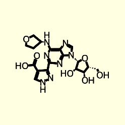 O=C(O)c1c[nH]nc1-c1nc(N[C@@H]2CCOC2)c2ncn([C@@H]3O[C@H](CO)[C@@H](O)[C@H]3O)c2n1